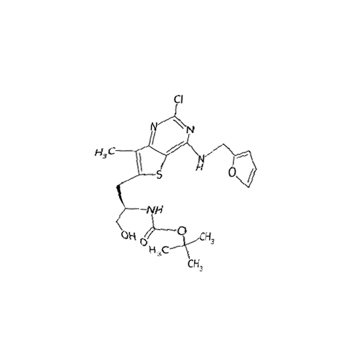 Cc1c(C[C@H](CO)NC(=O)OC(C)(C)C)sc2c(NCc3ccco3)nc(Cl)nc12